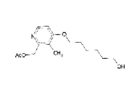 CC(=O)OCc1nccc(OCCCCCCO)c1C